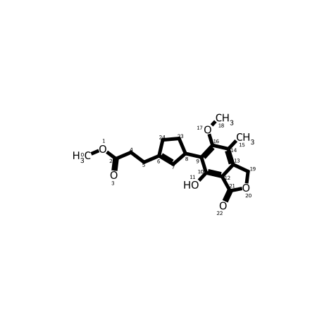 COC(=O)CCC1=CC(c2c(O)c3c(c(C)c2OC)COC3=O)CC1